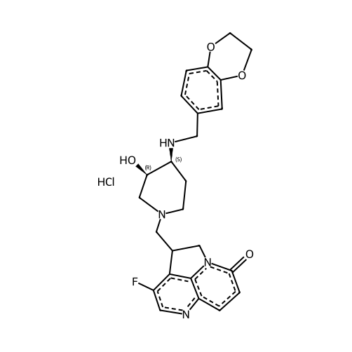 Cl.O=c1ccc2ncc(F)c3c2n1CC3CN1CC[C@H](NCc2ccc3c(c2)OCCO3)[C@H](O)C1